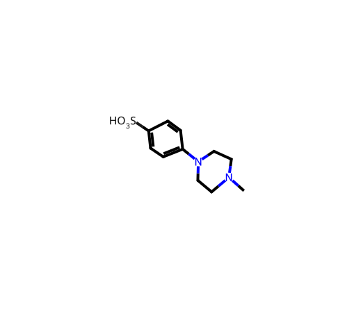 CN1CCN(c2ccc(S(=O)(=O)O)cc2)CC1